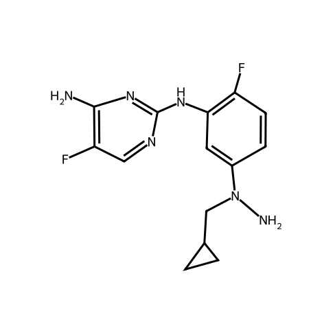 Nc1nc(Nc2cc(N(N)CC3CC3)ccc2F)ncc1F